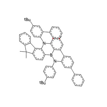 Cc1cc2c3c(c1)N(c1ccc(C(C)(C)C)cc1-c1ccccc1)c1c(ccc4c1-c1ccccc1C4(C)C)B3N(c1ccc(C(C)(C)C)cc1)c1cc(-c3ccccc3)ccc1-2